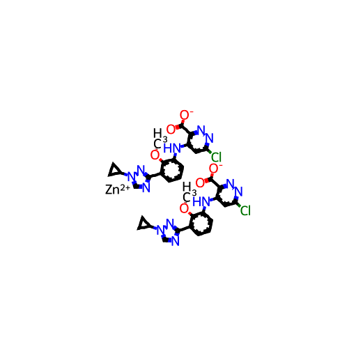 COc1c(Nc2cc(Cl)nnc2C(=O)[O-])cccc1-c1ncn(C2CC2)n1.COc1c(Nc2cc(Cl)nnc2C(=O)[O-])cccc1-c1ncn(C2CC2)n1.[Zn+2]